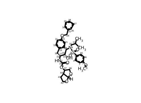 COc1ccc(S(=O)(=O)N(CC(C)C)C[C@H](O)[C@H](Cc2ccc(OCc3ccccc3)cc2)NC(=O)OC2CO[C@H]3OCCC23)cc1